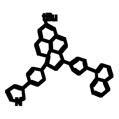 CC(C)(C)c1cc2ccc3c(-c4ccc(-c5cccc6ccccc56)cc4)cc(C4C=CC(c5cccnc5)=CC4)c4ccc(c1)c2c34